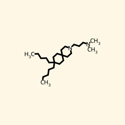 CCCCCC1(CCCCC)CCC2(CCN(CCCN(C)C)CC2)CC1